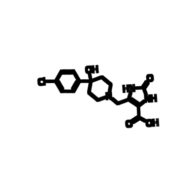 O=C(O)c1[nH]c(=O)[nH]c1CN1CCC(O)(c2ccc(Cl)cc2)CC1